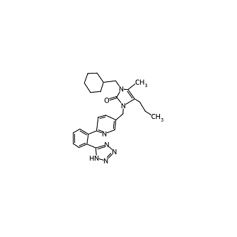 CCCc1c(C)n(CC2CCCCC2)c(=O)n1Cc1ccc(-c2ccccc2-c2nnn[nH]2)nc1